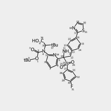 CC(C)(C)OC(=O)N(c1cccc(C(N)(Cc2ccc(-c3nccs3)cc2)S(=O)(=O)c2ccc(F)cc2)n1)C(C(=O)O)C(C)(C)C